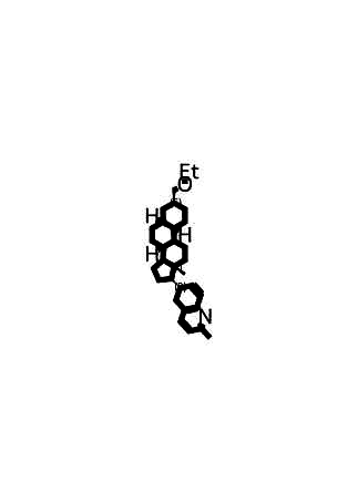 CCOC[C@H]1CC[C@@H]2C3CC[C@@]4(C)C(CCC4[C@@H]4C#Cc5nc(C)ccc5C4)[C@@H]3CC[C@@H]2C1